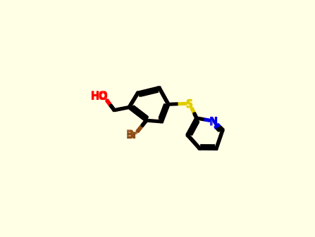 OCc1ccc(Sc2ccccn2)cc1Br